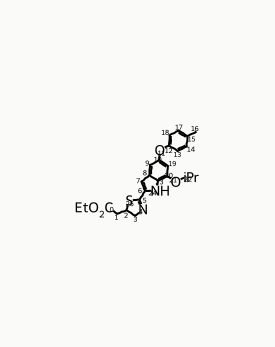 CCOC(=O)CC1CN=C(c2cc3cc(Oc4ccc(C)cc4)cc(OC(C)C)c3[nH]2)S1